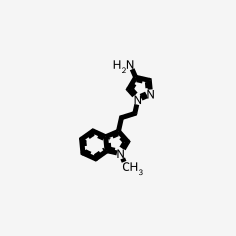 Cn1cc(CCn2cc(N)cn2)c2ccccc21